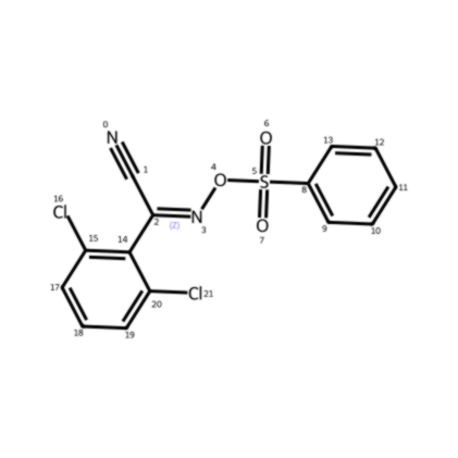 N#C/C(=N\OS(=O)(=O)c1ccccc1)c1c(Cl)cccc1Cl